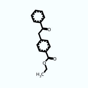 CCOC(=O)c1ccc(CC(=O)c2ccccc2)cc1